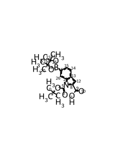 CC(C)(C)OC(=O)n1c(C(=O)O)cc2ccc(B3OC(C)(C)C(C)(C)O3)cc21